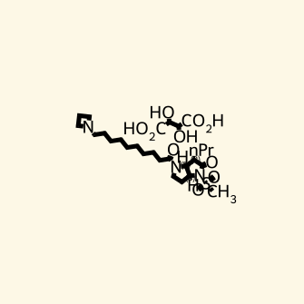 CCC[C@H]1C(=O)N(S(C)(=O)=O)[C@H]2CCN(C(=O)CCCCCCCCCN3CCC3)[C@H]12.O=C(O)C(O)C(O)C(=O)O